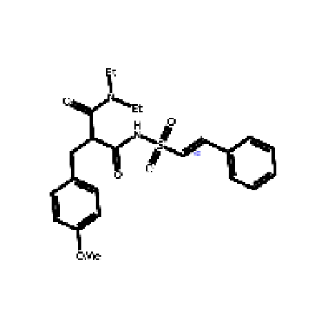 CCN(CC)C(=O)C(Cc1ccc(OC)cc1)C(=O)NS(=O)(=O)/C=C/c1ccccc1